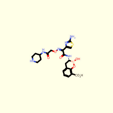 Nc1nc(/C(=N/OCC(=O)NC2CCNCC2)C(=O)N[C@H]2Cc3cccc(C(=O)O)c3OB2O)cs1